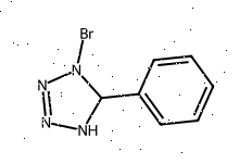 BrN1N=NNC1c1ccccc1